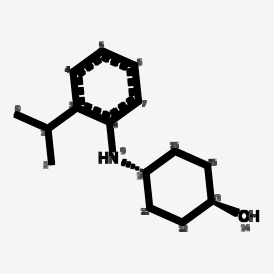 CC(C)c1ccccc1N[C@H]1CC[C@H](O)CC1